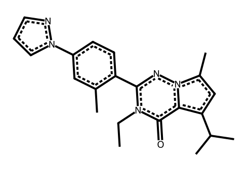 CCn1c(-c2ccc(-n3cccn3)cc2C)nn2c(C)cc(C(C)C)c2c1=O